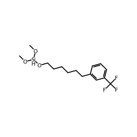 CO[SiH](OC)OCCCCCCc1cccc(C(F)(F)F)c1